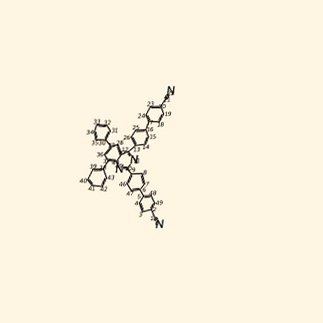 N#Cc1ccc(-c2ccc(-c3nc(-c4ccc(-c5ccc(C#N)cc5)cc4)c4cc(-c5ccccc5)cc(-c5ccccc5)c4n3)cc2)cc1